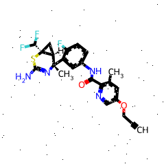 C#CCOc1cnc(C(=O)Nc2ccc(F)c([C@]3(C)N=C(N)S[C@@]4(C(F)F)C[C@@H]34)c2)c(C)c1